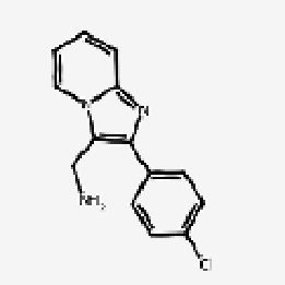 NCc1c(-c2ccc(Cl)cc2)nc2ccccn12